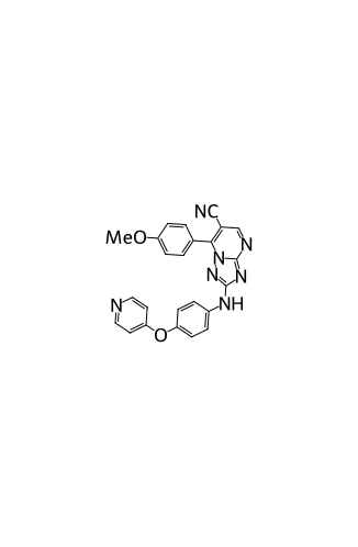 COc1ccc(-c2c(C#N)cnc3nc(Nc4ccc(Oc5ccncc5)cc4)nn23)cc1